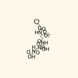 CC(C)(C)OC(=O)C(CCC(=O)NC(CO)C(=O)NCC(=O)NCC(=O)O)NC(=O)OCc1ccccc1